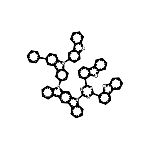 c1ccc(-c2ccc3c(c2)c2cc(-n4c5ccccc5c5cc6c7ccccc7n(-c7nc(-c8cccc9c8oc8ccccc89)nc(-c8cccc9c8oc8ccccc89)n7)c6cc54)ccc2n3-c2ccc3oc4ccccc4c3c2)cc1